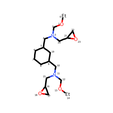 CCOCN(CC1CCCC(CN(COCC)CC2CO2)C1)CC1CO1